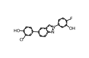 Oc1cc(-n2cc3cc(-c4ccc(O)c(Cl)c4)ccc3n2)ccc1F